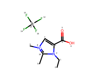 CCn1c(C(=O)O)c[n+](C)c1C.F[B-](F)(F)F